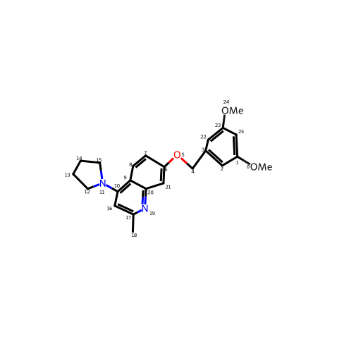 COc1cc(COc2ccc3c(N4CCCC4)cc(C)nc3c2)cc(OC)c1